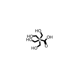 O=C(O)P(CO)(CO)(CO)CO